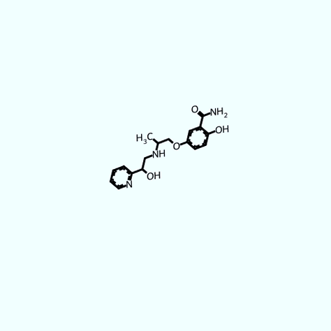 CC(COc1ccc(O)c(C(N)=O)c1)NCC(O)c1ccccn1